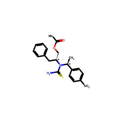 C[C@@H](c1ccc([N+](=O)[O-])cc1)N(C(N)=S)[C@@H](COC(=O)C(C)(C)C)Cc1ccccc1